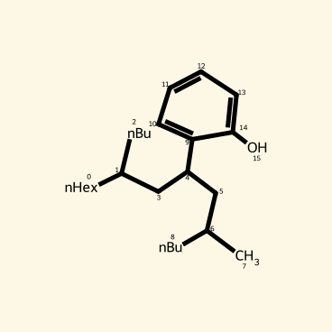 CCCCCCC(CCCC)CC(CC(C)CCCC)c1ccccc1O